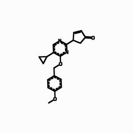 COc1ccc(COc2nc(C3C=CC(=O)C3)ncc2C2CC2)cc1